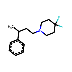 CC(CCN1CCC(F)(F)CC1)c1ccccc1